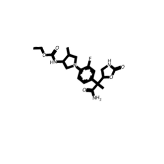 CCOC(=O)NC1CN(c2ccc(C(C)(C(N)=O)C3CNC(=O)O3)cc2F)CC1C